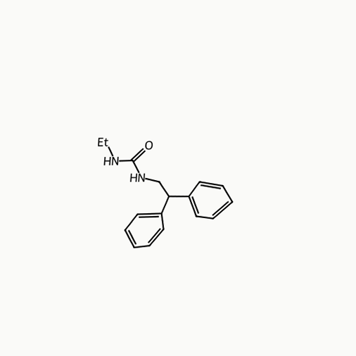 CCNC(=O)NCC(c1ccccc1)c1ccccc1